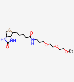 CCOCCOCCOCCCNC(=O)CCCCC1SCC2NC(=O)NC21